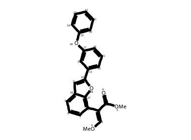 CO/C=C(/C(=O)OC)c1cccc2cc(-c3cccc(Oc4ccccc4)c3)oc12